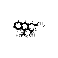 C=CCc1cc2ccccc2c(C(=O)O)c1C(=O)O